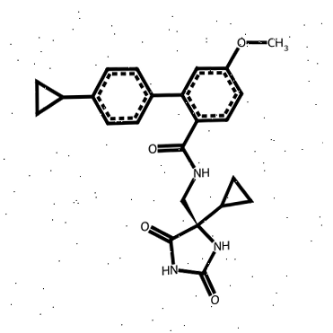 COc1ccc(C(=O)NC[C@@]2(C3CC3)NC(=O)NC2=O)c(-c2ccc(C3CC3)cc2)c1